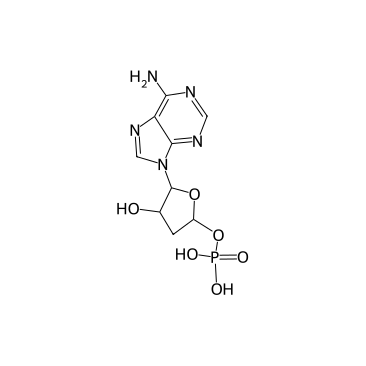 Nc1ncnc2c1ncn2C1OC(OP(=O)(O)O)CC1O